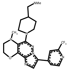 CNCC1CCN(c2nn3c(-c4ccnc(C(F)(F)F)c4)cnc3c3c2N(C)CCO3)CC1